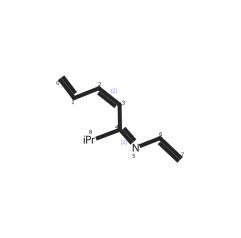 C=C/C=C\C(=N/C=C)C(C)C